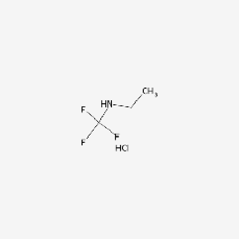 CCNC(F)(F)F.Cl